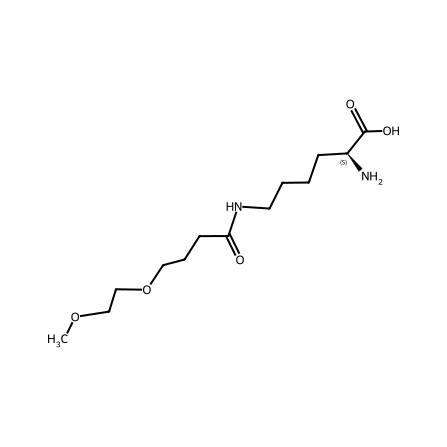 COCCOCCCC(=O)NCCCC[C@H](N)C(=O)O